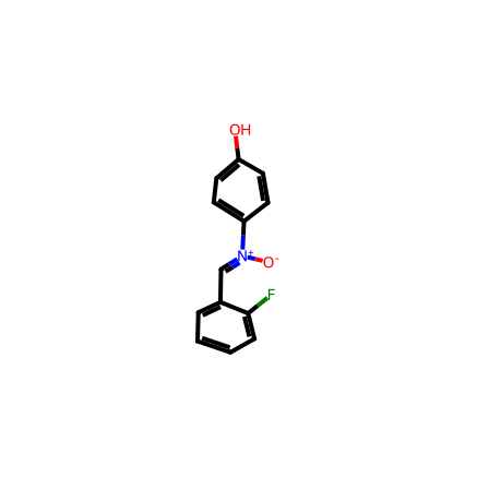 [O-][N+](=Cc1ccccc1F)c1ccc(O)cc1